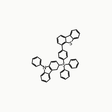 C1=CC(S(c2ccccc2)(c2ccccc2)c2ccc(-c3cccc4c3sc3ccccc34)cc2)Cc2c1n(-c1ccccc1)c1ccccc21